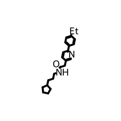 CCc1ccc(-c2ccc(CC(=O)NCCCC3CCCC3)cn2)cc1